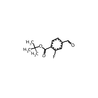 CC(C)(C)OC(=O)c1ccc(C=O)cc1F